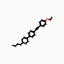 CCCCC1CC=C(c2ccc(C#Cc3ccc(OCC)cc3)cc2)CC1